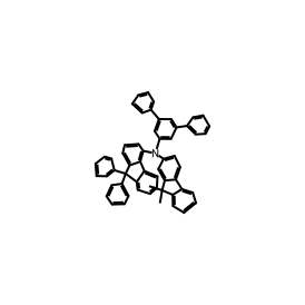 CC1(C)c2ccccc2-c2ccc(N(c3cc(-c4ccccc4)cc(-c4ccccc4)c3)c3cccc4c3-c3ccccc3C4(c3ccccc3)c3ccccc3)cc21